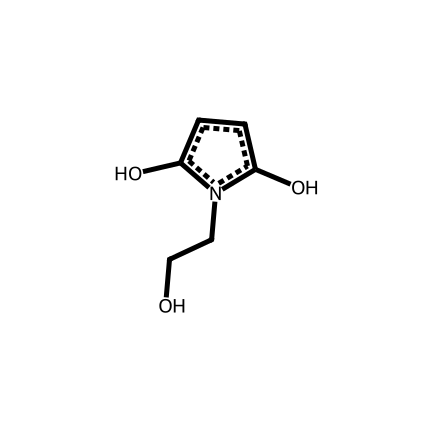 OCCn1c(O)ccc1O